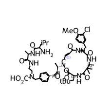 COc1ccc(C[C@H]2NC(=O)/C=C/C[C@@H](C(C)[C@H]3O[C@@H]3c3ccc(CN(CCNC(=O)C(C)NC(=O)C(N)C(C)C)C(=O)O)cc3)OC(=O)[C@H](CC(C)(C)C)NC(=O)C(C)(C)[C@H](C)NC2=O)cc1Cl